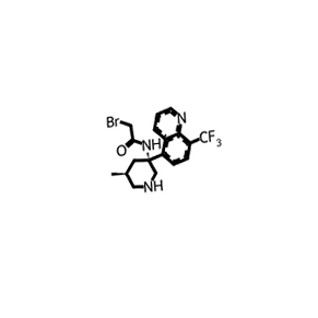 C[C@@H]1CNC[C@](NC(=O)CBr)(c2ccc(C(F)(F)F)c3ncccc23)C1